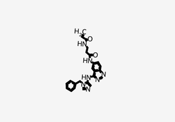 C=CC(=O)NCCC(=O)Nc1ccc2ncnc(Nc3cncn3Cc3ccccc3)c2c1